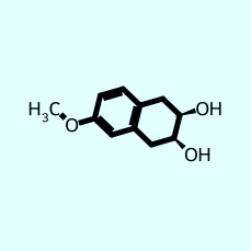 COc1ccc2c(c1)C[C@H](O)[C@H](O)C2